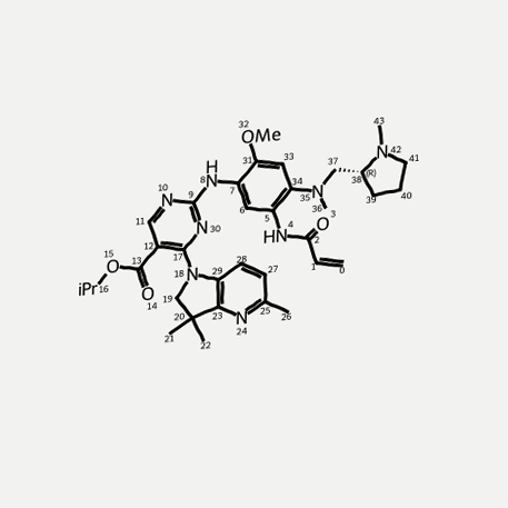 C=CC(=O)Nc1cc(Nc2ncc(C(=O)OC(C)C)c(N3CC(C)(C)c4nc(C)ccc43)n2)c(OC)cc1N(C)C[C@H]1CCCN1C